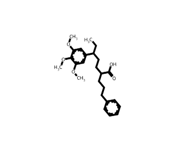 CCC(CCC(CCCc1ccccc1)C(=O)O)c1cc(OC)c(OC)c(OC)c1